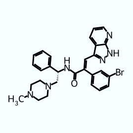 CN1CCN(C[C@@H](NC(=O)/C(=C/c2n[nH]c3ncccc23)c2cccc(Br)c2)c2ccccc2)CC1